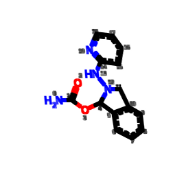 NC(=O)OC1c2ccccc2CN1Nc1ccccn1